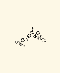 CN(C)c1ccc(CC(=O)N2CCC(c3n[nH]c4c3C(=O)c3c(NC(=O)NN5CCOCC5)cccc3-4)CC2)cc1